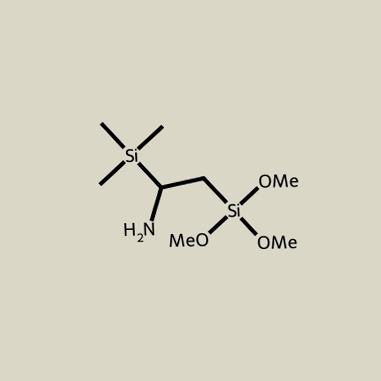 CO[Si](CC(N)[Si](C)(C)C)(OC)OC